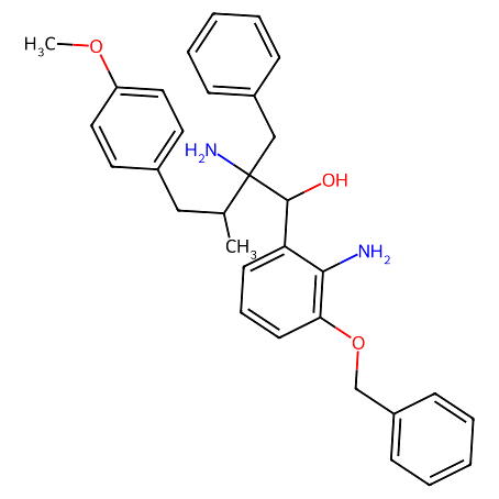 COc1ccc(CC(C)C(N)(Cc2ccccc2)C(O)c2cccc(OCc3ccccc3)c2N)cc1